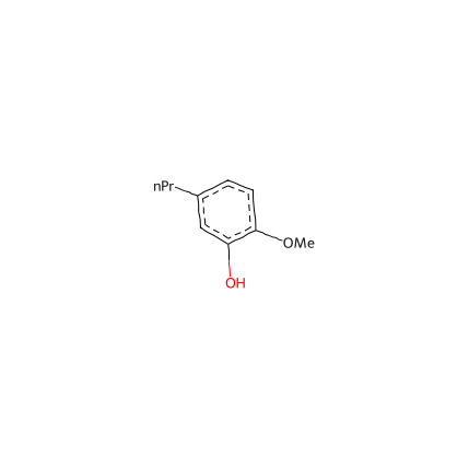 CCCc1ccc(OC)c(O)c1